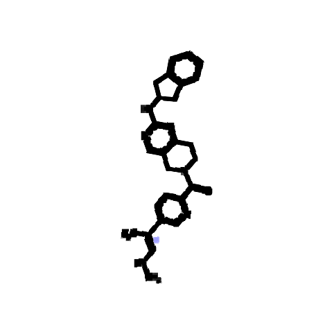 NN/C=C(\N)c1ccc(C(=O)N2CCc3nc(NC4Cc5ccccc5C4)ncc3C2)nc1